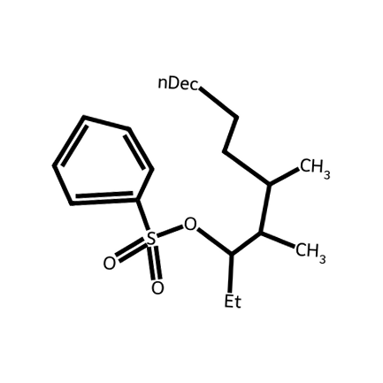 CCCCCCCCCCCCC(C)C(C)C(CC)OS(=O)(=O)c1ccccc1